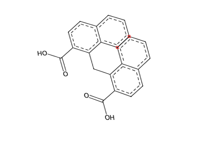 O=C(O)c1ccc2ccccc2c1Cc1c(C(=O)O)ccc2ccccc12